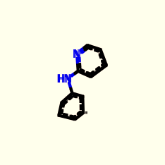 [c]1cccc(Nc2ccccn2)c1